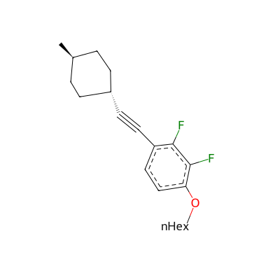 CCCCCCOc1ccc(C#C[C@H]2CC[C@H](C)CC2)c(F)c1F